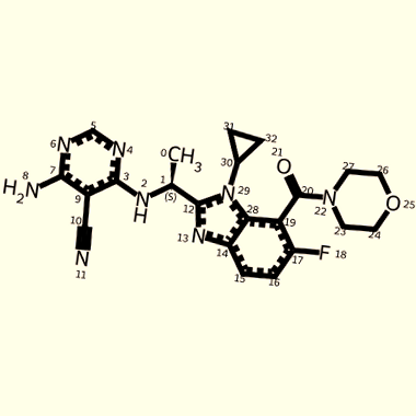 C[C@H](Nc1ncnc(N)c1C#N)c1nc2ccc(F)c(C(=O)N3CCOCC3)c2n1C1CC1